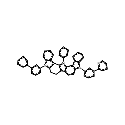 c1ccc(-c2cccc(-n3c4c(c5ccccc53)-c3c(c5ccc6c(c7ccccc7n6-c6cccc(-c7ccccn7)c6)c5n3-c3ccccc3)CC4)c2)cc1